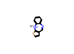 C1=Nc2ccccc2Nc2sccc21.[H+]